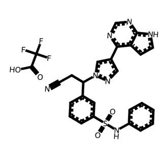 N#CCC(c1cccc(S(=O)(=O)Nc2ccccc2)c1)n1cc(-c2ncnc3[nH]ccc23)cn1.O=C(O)C(F)(F)F